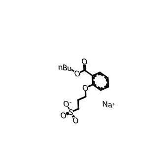 CCCCOC(=O)c1ccccc1OCCCS(=O)(=O)[O-].[Na+]